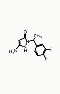 CC(c1ccc(F)c(F)c1)n1[nH]c(N)cc1=O